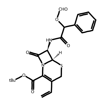 C=CC1=C(C(=O)OC(C)(C)C)N2C(=O)[C@@H](NC(=O)C(OC=O)c3ccccc3)[C@H]2SC1